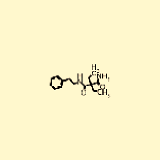 CCC(CC)(C(N)=O)C(=O)NCCc1ccccc1